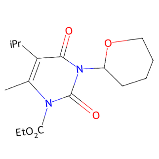 CCOC(=O)n1c(C)c(C(C)C)c(=O)n(C2CCCCO2)c1=O